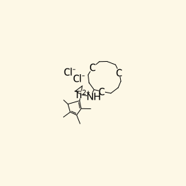 CC1=C(C)C(C)[C]([Ti+2]2([NH]C3CCCCCCCCCCC3)[CH2][CH2]2)=C1C.[Cl-].[Cl-]